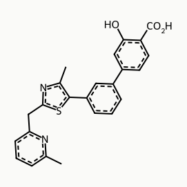 Cc1cccc(Cc2nc(C)c(-c3cccc(-c4ccc(C(=O)O)c(O)c4)c3)s2)n1